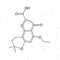 CCOc1cc2c(c3oc(C(=O)O)cc(=O)c13)CCC(C)(C)O2